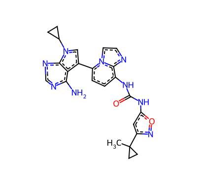 CC1(c2cc(NC(=O)Nc3ccc(-c4cn(C5CC5)c5ncnc(N)c45)n4ccnc34)on2)CC1